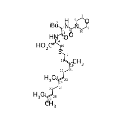 CC[C@H](C)[C@H](NC(=O)N1CCOCC1)C(=O)NC(CSC/C=C(\C)CC/C=C(\C)CCC=C(C)C)C(=O)O